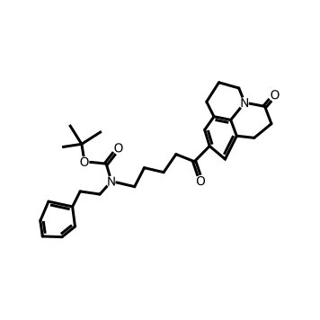 CC(C)(C)OC(=O)N(CCCCC(=O)c1cc2c3c(c1)CCC(=O)N3CCC2)CCc1ccccc1